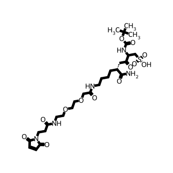 CC(C)(C)OC(=O)NC(CS(=O)(=O)O)C(=O)C[C@@H](CCCCNC(=O)COCCOCCNC(=O)CCN1C(=O)C=CC1=O)C(N)=O